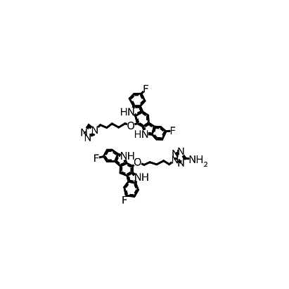 Fc1ccc2[nH]c3c(OCCCCCn4cnnc4)c4[nH]c5ccc(F)cc5c4cc3c2c1.Nc1nnn(CCCCCOc2c3[nH]c4ccc(F)cc4c3cc3c2[nH]c2ccc(F)cc23)n1